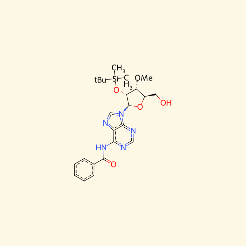 CO[C@H]1[C@@H](O[Si](C)(C)C(C)(C)C)[C@H](n2cnc3c(NC(=O)c4ccccc4)ncnc32)O[C@@H]1CO